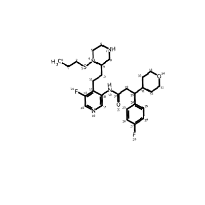 CCCSN1CCNCC1CCc1c(F)cncc1NC(=O)CC(c1ccc(F)cc1)C1CCOCC1